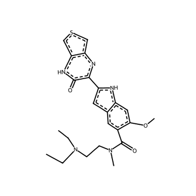 CCN(CC)CCN(C)C(=O)c1cc2cc(-c3nc4cscc4[nH]c3=O)[nH]c2cc1OC